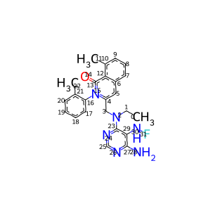 CCN(Cc1cc2cccc(C)c2c(=O)n1-c1ccccc1C)c1ncnc(N)c1NF